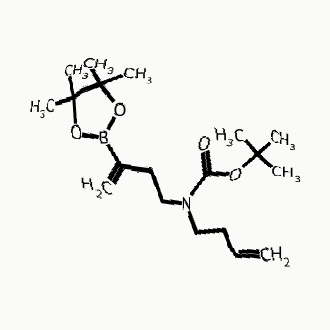 C=CCCN(CCC(=C)B1OC(C)(C)C(C)(C)O1)C(=O)OC(C)(C)C